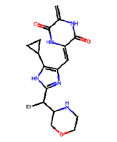 C=c1[nH]c(=O)c(=Cc2nc(C(CC)C3COCCN3)[nH]c2C2CC2)[nH]c1=O